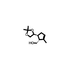 CC1=CC[C@H](C2COC(C)(C)O2)[C@H]1CO